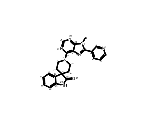 Cn1c(-c2cccnc2)nc2c(N3CCC4(CC3)C(=O)Nc3ccccc34)ncnc21